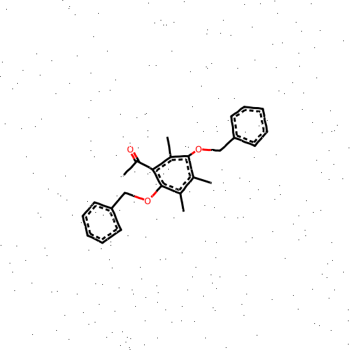 CC(=O)c1c(C)c(OCc2ccccc2)c(C)c(C)c1OCc1ccccc1